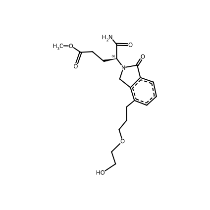 COC(=O)CC[C@@H](C(N)=O)N1Cc2c(CCCOCCO)cccc2C1=O